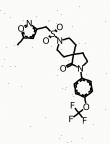 Cc1cc(CS(=O)(=O)N2CCC3(CCN(c4ccc(OC(F)(F)F)cc4)C3=O)CC2)no1